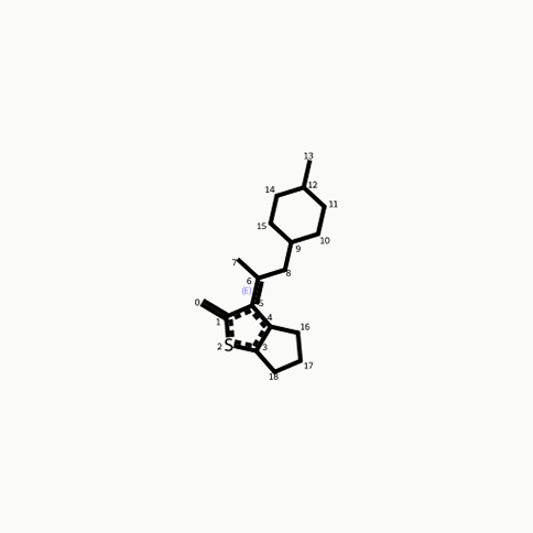 C=c1sc2c(/c1=C(/C)CC1CCC(C)CC1)CCC2